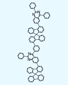 c1ccc(-c2nc(-c3cccc(-c4cccc5c4-c4ccccc4C54c5ccccc5-c5c(-c6ccc7nc(-c8ccccc8)nc(-c8ccccc8)c7c6)cccc54)c3)c3ccc(-c4cccc5c4-c4ccccc4C54c5ccccc5-c5ccccc54)cc3n2)cc1